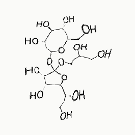 OCC(O)COC1(OC2O[C@H](CO)[C@@H](O)[C@H](O)[C@H]2O)O[C@@H]([C@H](O)CO)[C@H](O)[C@@H]1O